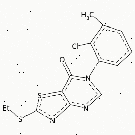 CCSc1nc2ncn(-c3cccc(C)c3Cl)c(=O)c2s1